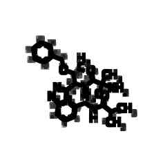 CC(C)C(=O)NCc1cccc2nnc([C@H](NC(=O)C(C)(C)N)[C@@H](C)OCc3ccccc3)n12